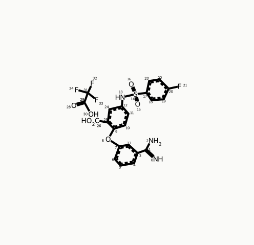 N=C(N)c1cccc(Oc2ccc(NS(=O)(=O)c3ccc(F)cc3)cc2C(=O)O)c1.O=C(O)C(F)(F)F